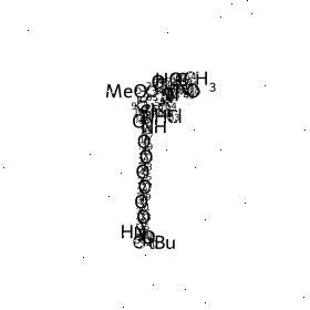 COc1cc2c(cc1-c1cccc(NC(=O)NCCOCCOCCOCCOCCOCCOCCNC(=O)OC(C)(C)C)c1)-c1c(c(C(=O)N3CCOCC3(C)C)nn1-c1cc(Cl)cc(Cl)c1)CO2